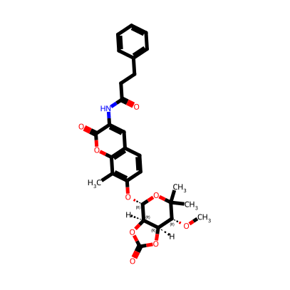 CO[C@@H]1[C@H]2OC(=O)O[C@H]2[C@H](Oc2ccc3cc(NC(=O)CCc4ccccc4)c(=O)oc3c2C)OC1(C)C